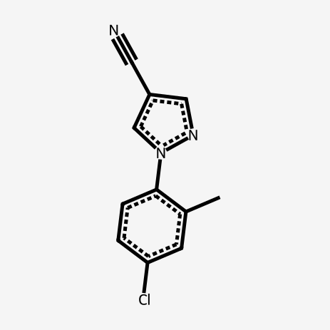 Cc1cc(Cl)ccc1-n1cc(C#N)cn1